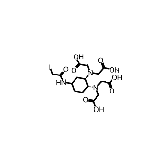 O=C(O)CN(CC(=O)O)[C@@H]1CCC(NC(=O)CI)C[C@H]1N(CC(=O)O)CC(=O)O